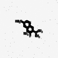 CN(C)c1cc2ncc(C(=O)O)cc2cc1F.N